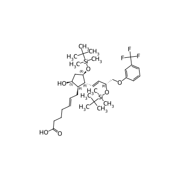 CC(C)(C)[Si](C)(C)O[C@H](C=C[C@@H]1[C@@H](CC=CCCCC(=O)O)[C@@H](O)C[C@H]1O[Si](C)(C)C(C)(C)C)COc1cccc(C(F)(F)F)c1